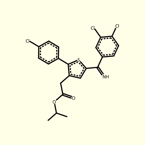 CC(C)OC(=O)Cc1cc(C(=N)c2ccc(Cl)c(Cl)c2)sc1-c1ccc(Cl)cc1